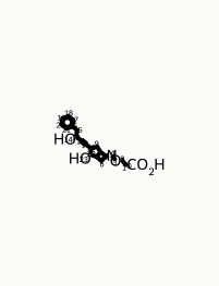 O=C(O)CCON=C1CC2C1CC(C#CC(O)Cc1ccccc1)C2O